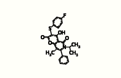 Cc1c(-c2ccccc2)n(C(C)C)c(=O)c2c(O)c(Sc3ccc(F)cc3)c(=O)oc12